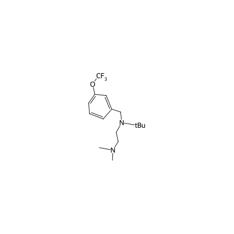 CN(C)CCN(Cc1cccc(OC(F)(F)F)c1)C(C)(C)C